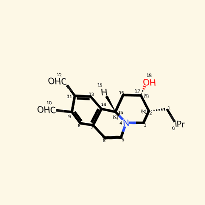 CC(C)C[C@@H]1CN2CCc3cc(C=O)c(C=O)cc3[C@@H]2C[C@@H]1O